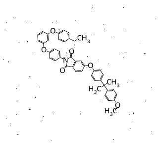 CCc1ccc(Oc2cccc(Oc3ccc(N4C(=O)c5ccc(Oc6ccc(C(C)(C)c7ccc(OC)cc7)cc6)cc5C4=O)cc3)c2)cc1